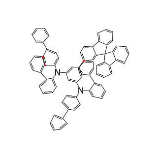 c1ccc(-c2ccc(N(c3cc(-c4ccc5c(c4)C4(c6ccccc6-c6ccccc64)c4ccccc4-5)cc(N(c4ccc(-c5ccccc5)cc4)c4ccccc4-c4ccccc4)c3)c3ccccc3-c3ccccc3)cc2)cc1